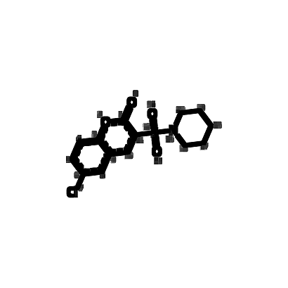 O=c1oc2ccc(Cl)cc2cc1S(=O)(=O)N1CCCCC1